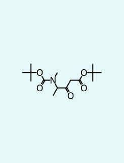 CC(C(=O)CC(=O)OC(C)(C)C)N(C)C(=O)OC(C)(C)C